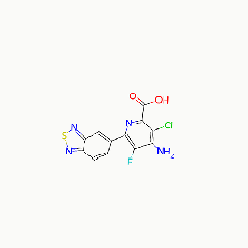 Nc1c(F)c(-c2ccc3nsnc3c2)nc(C(=O)O)c1Cl